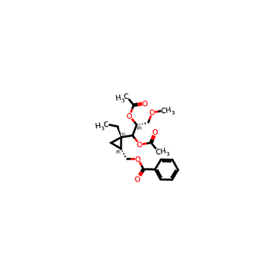 CC[C@]1(C(OC(C)=O)[C@@H](COC)OC(C)=O)C[C@H]1COC(=O)c1ccccc1